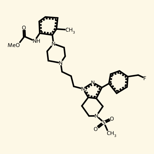 COC(=O)Nc1cccc(C)c1N1CCN(CCCn2nc(-c3ccc(CF)cc3)c3c2CCN(S(C)(=O)=O)C3)CC1